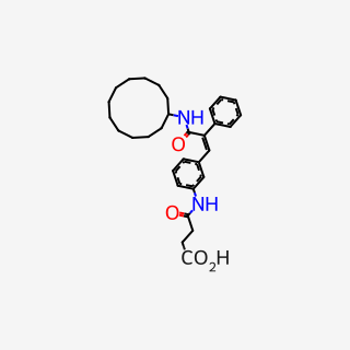 O=C(O)CCC(=O)Nc1cccc(/C=C(\C(=O)NC2CCCCCCCCCCC2)c2ccccc2)c1